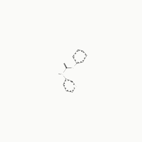 CCN(C(=O)Nc1ccccc1)c1cccnc1